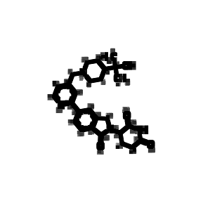 CC(C)(O)C1CCN(Cc2ccnc(-c3ccc4c(c3)CN(C3CCC(=O)NC3=O)C4=O)c2)CC1